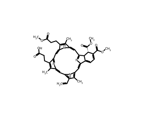 C=Cc1c(C)c2cc3nc(cc4[nH]c(cc5nc(cc1[nH]2)C(C)=C5CCC(=O)O)c(CCC(=O)OC)c4C)C1C3=CC=C(C(=O)OC)[C@H]1C(=O)OC